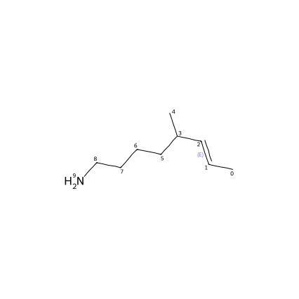 C/C=C/C(C)CCCCN